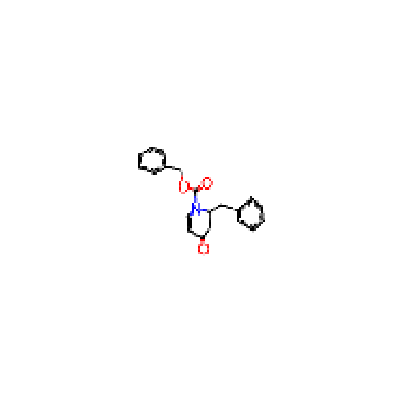 O=C1C=CN(C(=O)OCc2ccccc2)C(Cc2ccccc2)C1